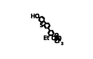 CCc1cc(-c2ccc3c(c2)sc2cc(O)ccc23)ccc1OS(=O)(=O)C(F)(F)F